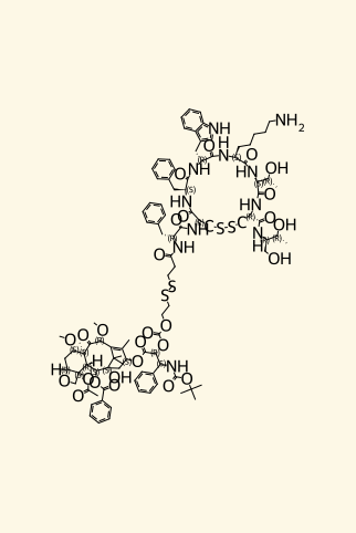 CO[C@H]1C(=O)[C@]2(C)[C@@H](OC)C[C@H]3OC[C@@]3(OC(C)=O)[C@H]2[C@H](OC(=O)c2ccccc2)[C@]2(O)C[C@H](OC(=O)[C@H](OC(=O)OCCSSCCC(=O)N[C@H](Cc3ccccc3)C(=O)N[C@H]3CSSC[C@@H](C(=O)N[C@H](CO)[C@@H](C)O)NC(=O)[C@H]([C@@H](C)O)NC(=O)[C@H](CCCCCN)NC(=O)[C@@H](Cc4c[nH]c5ccccc45)NC(=O)[C@H](Cc4ccccc4)NC3=O)[C@@H](NC(=O)OC(C)(C)C)c3ccccc3)C(C)=C1C2(C)C